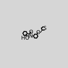 O=C(Nc1cccc(OCc2ccsc2)c1)c1ccccc1O